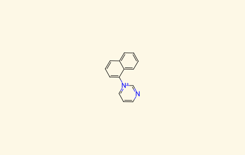 c1ccc2c(-[n+]3cccnc3)cccc2c1